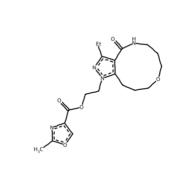 CCc1nn(CCOC(=O)c2coc(C)n2)c2c1C(=O)NCCCOCCC2